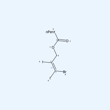 CCCCCC(=O)OC/C(I)=C(\Br)I